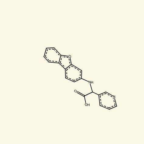 O=C(O)C(Nc1ccc2c(c1)oc1ccccc12)c1cccnc1